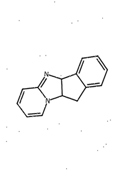 C1=CC2=NC3c4ccccc4CC3N2C=C1